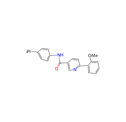 COc1ccccc1-c1ccc(C(=O)Nc2ccc(C(C)C)cc2)cn1